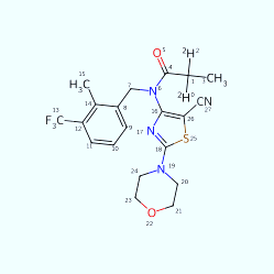 [2H]C([2H])(C)C(=O)N(Cc1cccc(C(F)(F)F)c1C)c1nc(N2CCOCC2)sc1C#N